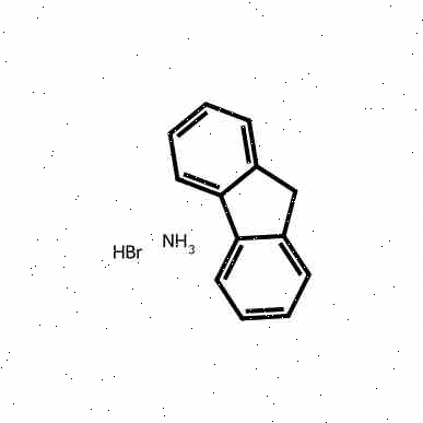 Br.N.c1ccc2c(c1)Cc1ccccc1-2